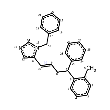 Cc1ccccc1C(C/C=C/c1cncn1Cc1ccccc1)c1ccccc1